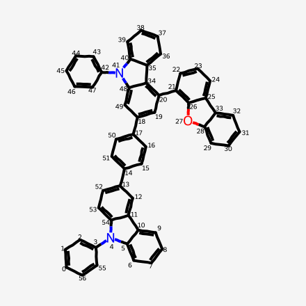 c1ccc(-n2c3ccccc3c3cc(-c4ccc(-c5cc(-c6cccc7c6oc6ccccc67)c6c7ccccc7n(-c7ccccc7)c6c5)cc4)ccc32)cc1